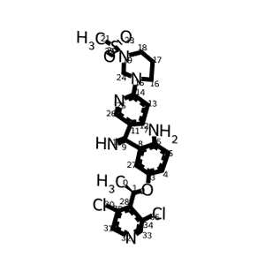 C[C@@H](Oc1ccc(N)c(C(=N)c2ccc(N3CCCN(S(C)(=O)=O)C3)nc2)c1)c1c(Cl)cncc1Cl